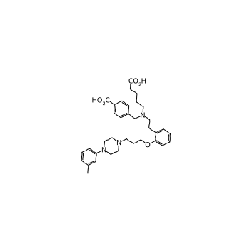 Cc1cccc(N2CCN(CCCOc3ccccc3CCN(CCCCC(=O)O)Cc3ccc(C(=O)O)cc3)CC2)c1